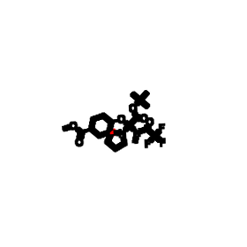 COC(=O)[C@H]1CC[C@H](OC(C(=O)OC(C)(C)C)(N2CCCC2)N(C)C(=O)C(F)(F)F)CC1